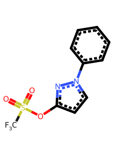 O=S(=O)(Oc1ccn(-c2ccccc2)n1)C(F)(F)F